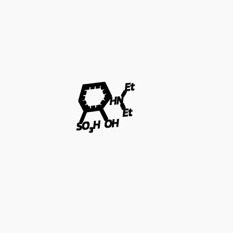 CCNCC.O=S(=O)(O)c1ccccc1O